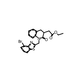 CCOC(=O)CC1Cc2ccccc2N(Cc2nc3c(Br)cccc3s2)C1=O